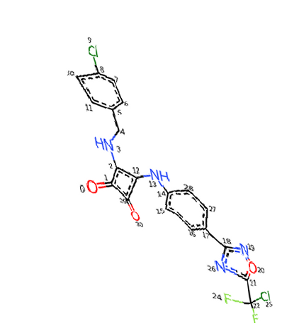 O=c1c(NCc2ccc(Cl)cc2)c(Nc2ccc(-c3noc(C(F)(F)Cl)n3)cc2)c1=O